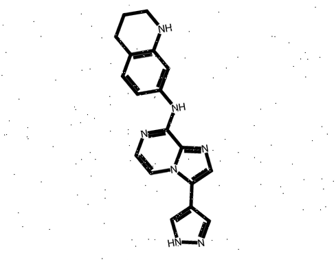 c1cn2c(-c3cn[nH]c3)cnc2c(Nc2ccc3c(c2)NCCC3)n1